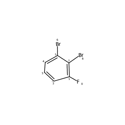 Fc1[c]ccc(Br)c1Br